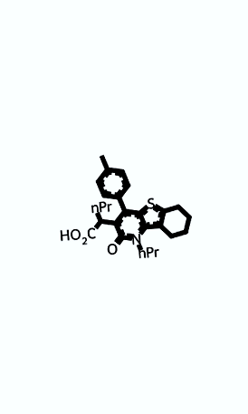 CCCC(C(=O)O)c1c(-c2ccc(C)cc2)c2sc3c(c2n(CCC)c1=O)CCCC3